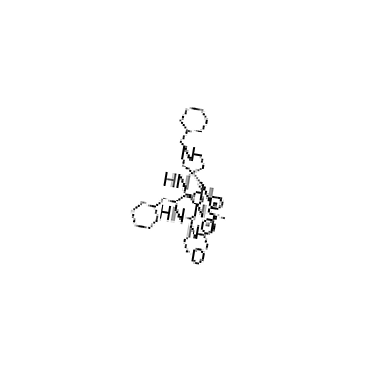 CS(=O)(=O)/N=C(/NC(CC1CCCCC1)C(=O)NC1(C#N)CCN(CC2CCCCC2)C1)N1CCOCC1